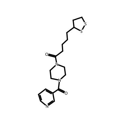 O=C(CCCCC1CCSS1)N1CCN(C(=O)c2cccnc2)CC1